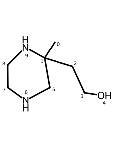 CC1(CCO)CNCCN1